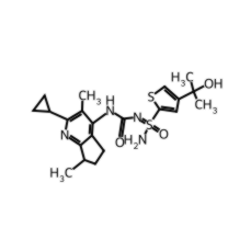 Cc1c(C2CC2)nc2c(c1NC(=O)N=S(N)(=O)c1cc(C(C)(C)O)cs1)CCC2C